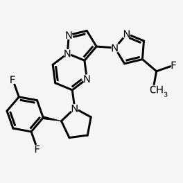 CC(F)c1cnn(-c2cnn3ccc(N4CCC[C@H]4c4cc(F)ccc4F)nc23)c1